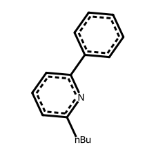 CCCCc1cccc(-c2ccccc2)n1